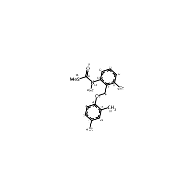 CCc1ccc(OCc2c(CC)cccc2N(CC)C(=O)SC)c(C)c1